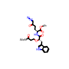 CNC(=O)CCO[C@@H](Cc1c[nH]c2ccccc12)C(=O)N[C@@H](CCC(=O)C=[N+]=[N-])C(=O)OC(C)C